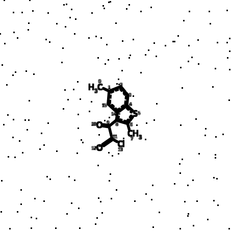 Cc1ccc2sc(C)c(C(=O)C(=O)Cl)c2c1